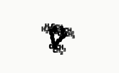 C=C(C)C(=O)C(CCCCC[C@H](C)C(=O)C(=C)C)CCCCCN(C)C(=O)C(=C)C